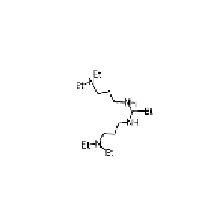 CCC(NCCCN(CC)CC)NCCCN(CC)CC